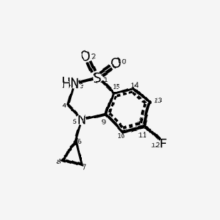 O=S1(=O)NCN(C2CC2)c2cc(F)ccc21